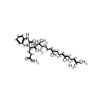 C=C(Nc1ccccc1)NC(CCC(N)=O)C(=C)NC(C)CSC/C=C(\C)CC/C=C(\C)CCC=C(C)C